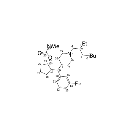 CCC(C)CC(CC)CN1CCC(C(c2cccc(F)c2)C2CCC[C@@H]2OC(=O)NC)CC1